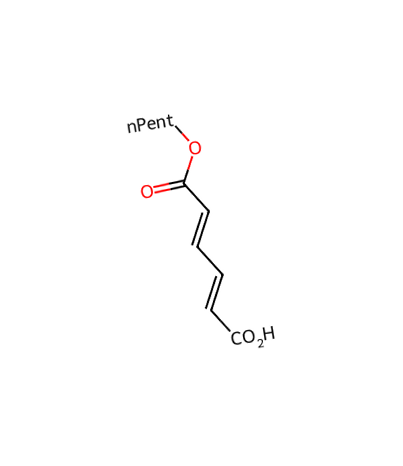 CCCCCOC(=O)C=CC=CC(=O)O